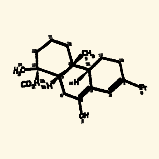 CC(C)C1=CC2=C(O)C[C@@H]3[C@](C)(CCC[C@@]3(C)C(=O)O)[C@H]2CC1